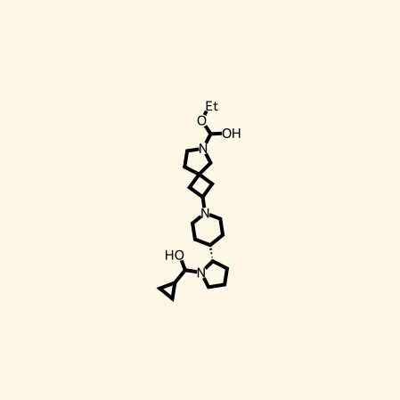 CCOC(O)N1CCC2(CC(N3CCC([C@@H]4CCCN4C(O)C4CC4)CC3)C2)C1